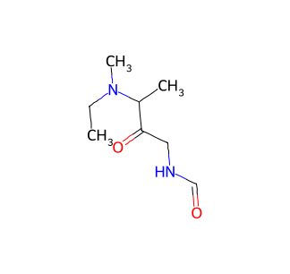 CCN(C)C(C)C(=O)CNC=O